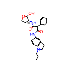 CCCN1CCc2cc(NC(=O)C(C(=O)N[C@H]3CCOC3O)c3ccccc3)ccc21